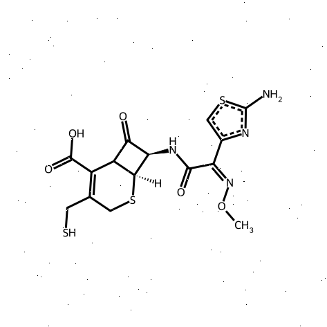 CO/N=C(\C(=O)N[C@@H]1C(=O)C2C(C(=O)O)=C(CS)CS[C@@H]21)c1csc(N)n1